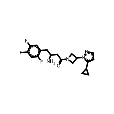 NC(CC(=O)N1CC(n2nccc2C2CC2)C1)Cc1cc(F)c(F)cc1F